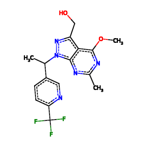 COc1nc(C)nc2c1c(CO)nn2C(C)c1ccc(C(F)(F)F)nc1